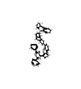 c1ccc(-c2nc(-c3ccccc3)nc(-c3cccc4c3sc3c(-c5ccc6c(c5)-c5cc(-n7c8ccccc8c8ccccc87)ccc5C6)cccc34)n2)cc1